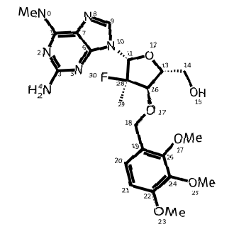 CNc1nc(N)nc2c1ncn2[C@@H]1O[C@H](CO)[C@@H](OCc2ccc(OC)c(OC)c2OC)[C@@]1(C)F